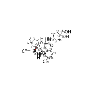 CC1(C)CCC2(CC1)N[C@@H](C(=O)N[C@H]1CC[C@](O)(CO)CC1)[C@H](c1cccc(Cl)c1F)[C@]21C(=O)Nc2cc(Cl)ccc21